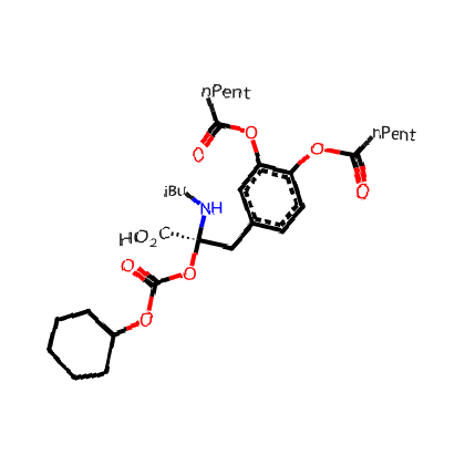 CCCCCC(=O)Oc1ccc(C[C@](NC(C)CC)(OC(=O)OC2CCCCC2)C(=O)O)cc1OC(=O)CCCCC